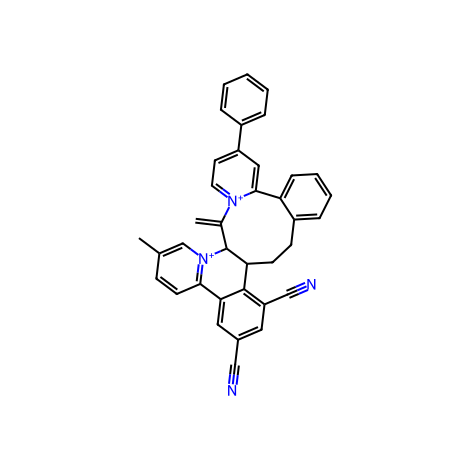 C=C1C2C(CCc3ccccc3-c3cc(-c4ccccc4)cc[n+]31)c1c(C#N)cc(C#N)cc1-c1ccc(C)c[n+]12